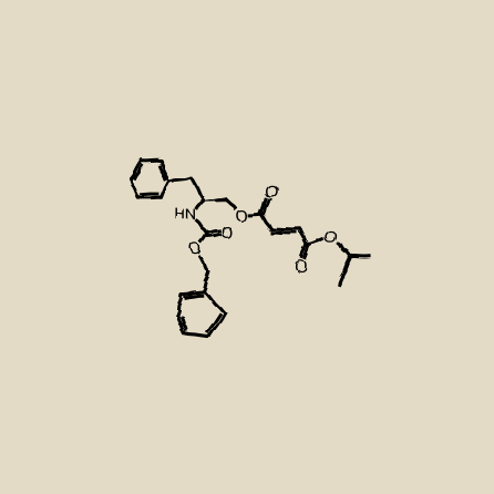 CC(C)OC(=O)/C=C/C(=O)OC[C@H](Cc1ccccc1)NC(=O)OCc1ccccc1